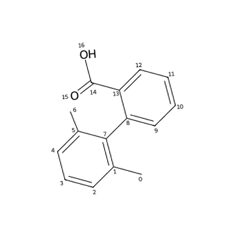 Cc1cccc(C)c1-c1ccccc1C(=O)O